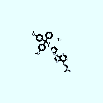 COc1ccc(C(OC[C@@H]2C=C[C@H](n3cnc4c(N=CN(C)C)ncnc43)O2)(c2ccccc2)c2ccc(OC)cc2)cc1.[Te]